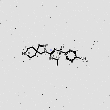 CCN/C(=N\S(=O)(=O)c1ccc(N)cc1)N1CC2(C=N1)CCNCC2